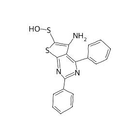 Nc1c(SO)sc2nc(-c3ccccc3)nc(-c3ccccc3)c12